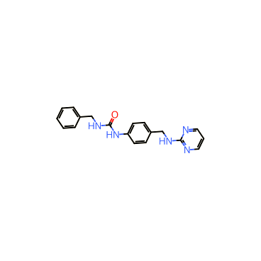 O=C(NCc1ccccc1)Nc1ccc(CNc2ncccn2)cc1